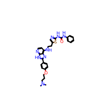 CN(C)CCCOc1ccc(-c2nc3c(NCCc4cnc(NC(=O)Nc5ccccc5)s4)ccnc3[nH]2)cc1